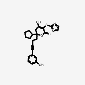 O=C1OC(CCC#Cc2cccc(O)c2)(C2CCCC2)CC(O)=C1Sc1nccs1